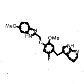 COc1ccc2nc(COc3cc(F)c(Cc4c[nH]c5ncccc45)cc3OC)[nH]c2c1